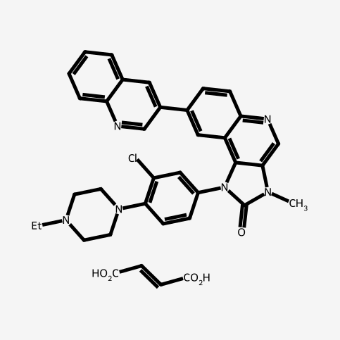 CCN1CCN(c2ccc(-n3c(=O)n(C)c4cnc5ccc(-c6cnc7ccccc7c6)cc5c43)cc2Cl)CC1.O=C(O)C=CC(=O)O